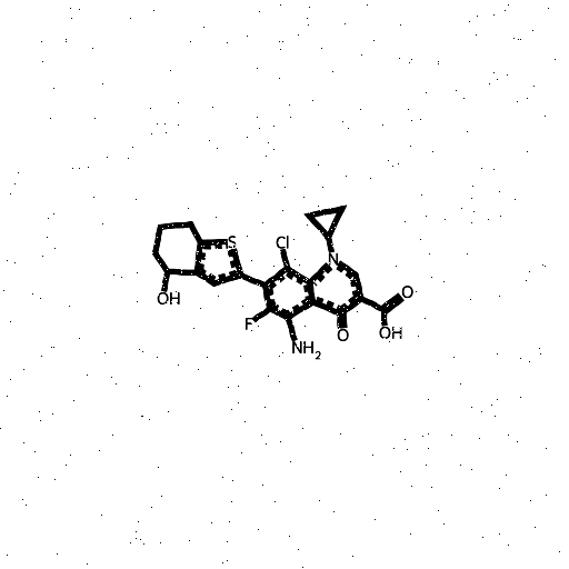 Nc1c(F)c(-c2cc3c(s2)CCCC3O)c(Cl)c2c1c(=O)c(C(=O)O)cn2C1CC1